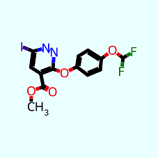 COC(=O)c1cc(I)nnc1Oc1ccc(OC(F)F)cc1